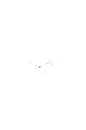 CC[N+](C)(CC)CC.COP(=O)([O-])OC